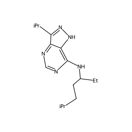 CCC(CCC(C)C)Nc1ncnc2c(C(C)C)n[nH]c12